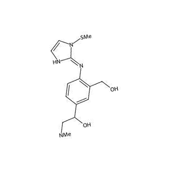 CNCC(O)c1ccc(/N=c2\[nH]ccn2SC)c(CO)c1